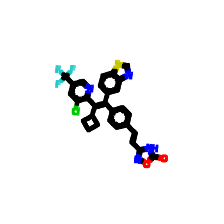 O=c1[nH]c(C=Cc2ccc(/C(=C(/c3ncc(C(F)(F)F)cc3Cl)C3CCC3)c3ccc4scnc4c3)cc2)no1